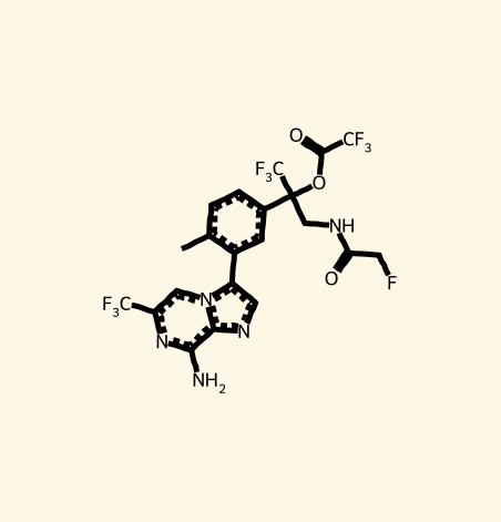 Cc1ccc(C(CNC(=O)CF)(OC(=O)C(F)(F)F)C(F)(F)F)cc1-c1cnc2c(N)nc(C(F)(F)F)cn12